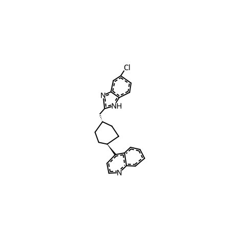 Clc1ccc2[nH]c(C[C@H]3CC[C@H](c4ccnc5ccccc54)CC3)nc2c1